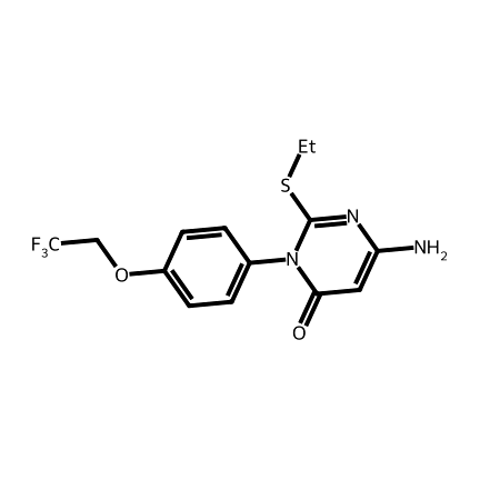 CCSc1nc(N)cc(=O)n1-c1ccc(OCC(F)(F)F)cc1